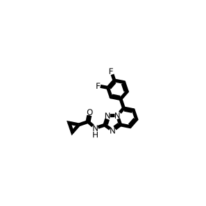 O=C(Nc1nc2cccc(-c3ccc(F)c(F)c3)n2n1)C1CC1